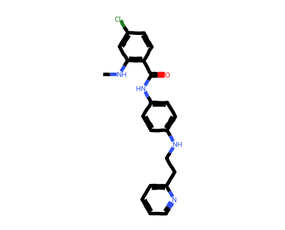 CNc1cc(Cl)ccc1C(=O)Nc1ccc(NCCc2ccccn2)cc1